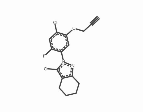 C#CCOc1cc(-n2nc3c(c2Cl)CCCC3)c(F)cc1Cl